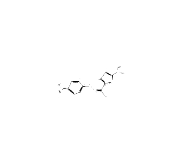 CC(=NNc1ccc([N+](=O)[O-])cc1)c1ccc([N+](=O)[O-])o1